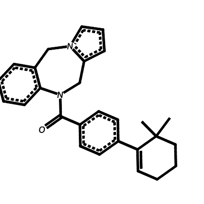 CC1(C)CCCC=C1c1ccc(C(=O)N2Cc3cccn3Cc3ccccc32)cc1